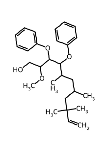 C=CC(C)(C)CC(C)CC(C)C(Oc1ccccc1)C(Oc1ccccc1)C(CO)OC